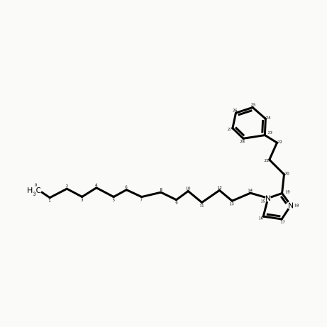 CCCCCCCCCCCCCCCn1ccnc1CCCc1ccccc1